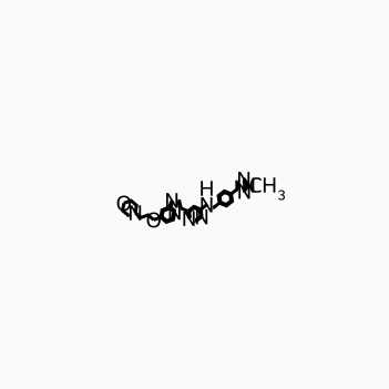 Cn1ncc(-c2ccc(CNc3cc(-c4cnc5cc(OCCN6CCOCC6)ccn45)ncn3)cc2)n1